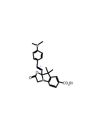 CCOC(=O)c1ccc2c(c1)C(C)(C)C1(/C=C/c3ccc(N(C)C)cc3)OC(=O)CN21